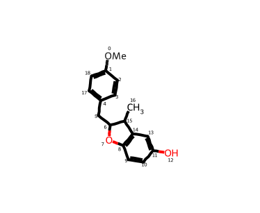 COc1ccc(CC2Oc3ccc(O)cc3C2C)cc1